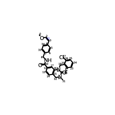 CO/C=C\c1ccc(CNC(=O)c2ccc3c(c2)N(Cc2c(F)cccc2Cl)C(=O)N(C)C3)cc1